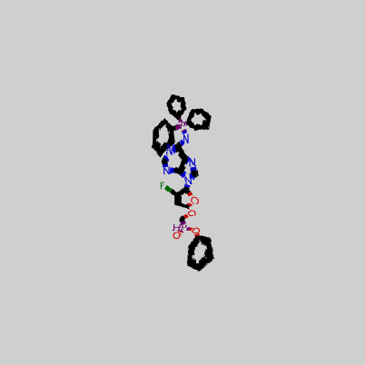 O=[PH](CO[C@@H]1C=C(F)C(n2cnc3c(N=P(c4ccccc4)(c4ccccc4)c4ccccc4)ncnc32)O1)Oc1ccccc1